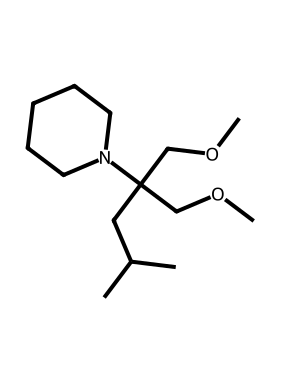 COCC(COC)(CC(C)C)N1CCCCC1